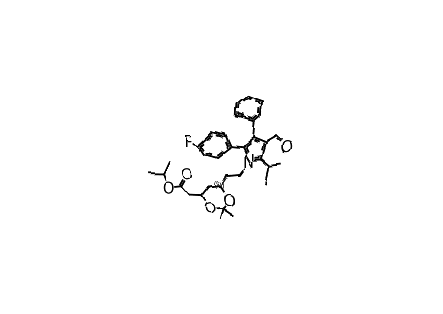 CC(C)OC(=O)CC1C[C@@H](CCn2c(-c3ccc(F)cc3)c(-c3ccccc3)c(C=O)c2C(C)C)OC(C)(C)O1